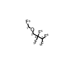 FCOCC(F)(F)C(F)F